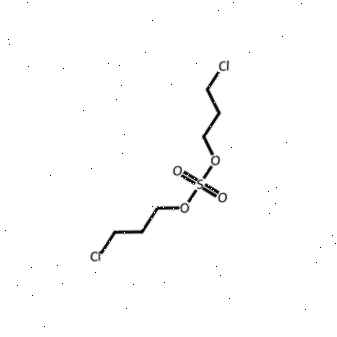 O=S(=O)(OCCCCl)OCCCCl